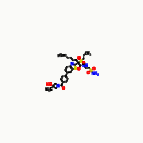 CCCCCCCCCCCCCCC(C(=O)NCCS(N)(=O)=O)(c1nc2ccc(-c3ccc(C(=O)N4CC(C)(O)C4)cc3)cc2s1)S(=O)(=O)CCC(F)(F)F